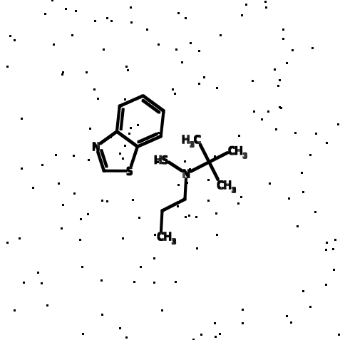 CCCN(S)C(C)(C)C.c1ccc2scnc2c1